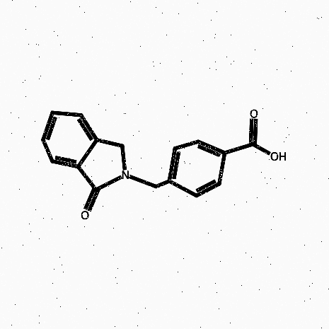 O=C(O)c1ccc(CN2Cc3ccccc3C2=O)cc1